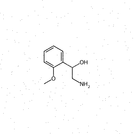 COc1ccccc1C(O)CN